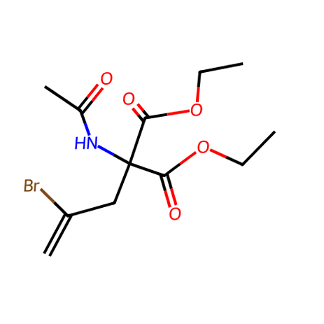 C=C(Br)CC(NC(C)=O)(C(=O)OCC)C(=O)OCC